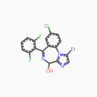 CCc1cnc2n1-c1ccc(Cl)cc1C(c1c(F)cccc1F)=NC2O